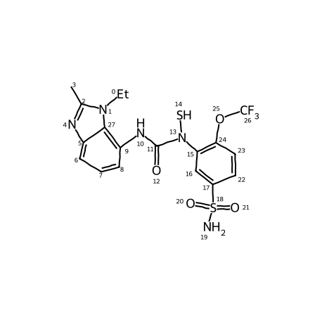 CCn1c(C)nc2cccc(NC(=O)N(S)c3cc(S(N)(=O)=O)ccc3OC(F)(F)F)c21